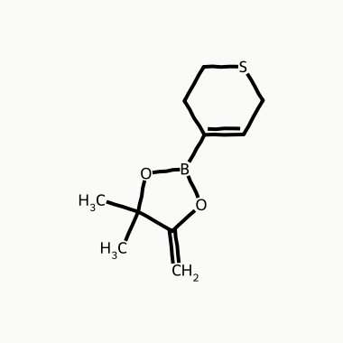 C=C1OB(C2=CCSCC2)OC1(C)C